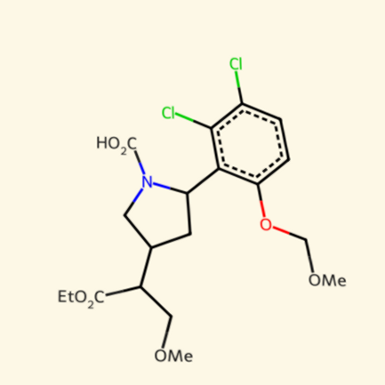 CCOC(=O)C(COC)C1CC(c2c(OCOC)ccc(Cl)c2Cl)N(C(=O)O)C1